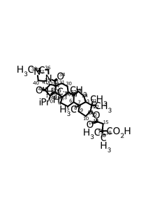 CC(C)C1=C2[C@H]3CCC4[C@@]5(C)CC[C@H](OC(=O)CC(C)(C)C(=O)O)C(C)(C)C5CC[C@@]4(C)[C@]3(C)CC[C@@]2(C(=O)N2CCN(C)CC2)CC1=O